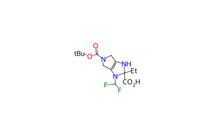 CCC1(C(=O)O)NC2=C(CN(C(=O)OC(C)(C)C)C2)N1C(F)F